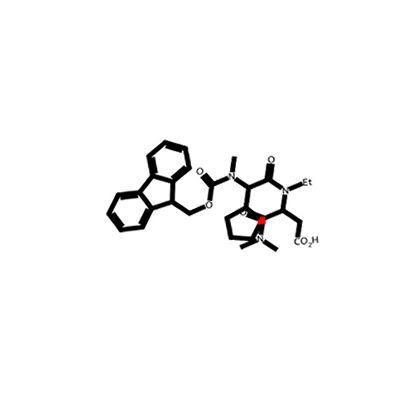 CCN(C(=O)C(C1CCCC1)N(C)C(=O)OCC1c2ccccc2-c2ccccc21)C(CC(=O)O)C(=O)N(C)C